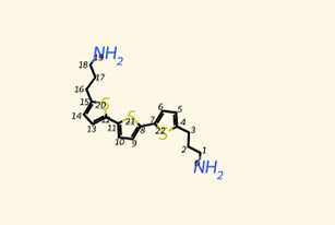 NCCCc1ccc(-c2ccc(-c3ccc(CCCN)s3)s2)s1